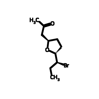 CC[C@H](Br)[C@H]1CC[C@H](CC(C)=O)O1